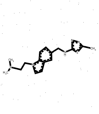 Cc1nnc(NCc2ccc3c(ccn3CCN(C)C)c2)s1